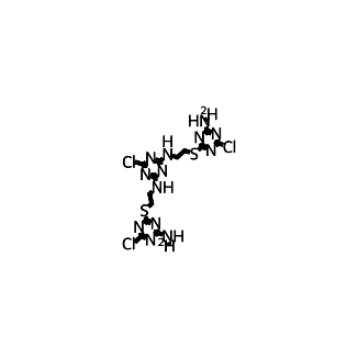 [2H]Nc1nc(Cl)nc(SCCNc2nc(Cl)nc(NCCSc3nc(Cl)nc(N[2H])n3)n2)n1